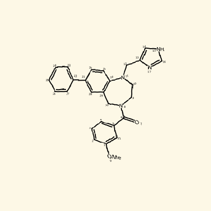 COc1cccc(C(=O)N2CCN(Cc3c[nH]cn3)c3ccc(-c4ccccc4)cc3C2)c1